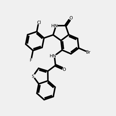 O=C1NC(c2cc(F)ccc2Cl)c2c(NC(=O)c3csc4ccccc34)cc(Br)cc21